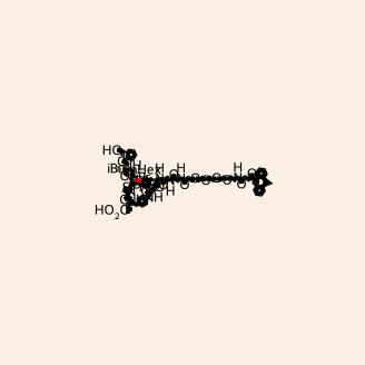 CCCCCCN(C(=O)[C@@H](NC(=O)[C@H]1CCCCN1CCO)[C@@H](C)CC)[C@H](C[C@@H](OCC)c1nc(C(=O)N[C@@H](Cc2ccc(NC(=O)CNC(=O)[C@H](Cc3ccccc3)NC(=O)CNC(=O)CNC(=O)CCOCCOCCOCCOCCNC(=O)CCC(=O)N3Cc4ccccc4C4=C(C4)c4ccccc43)cc2)CC(C)(C)C(=O)O)cs1)C(C)C